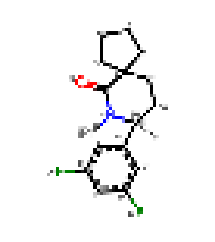 CC(C)N1C(=O)C2(CCCC2)CC[C@@]1(C)c1cc(F)cc(F)c1